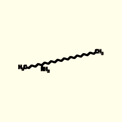 CCCCCCCCCCCCCCCCCC(N)CCCCC